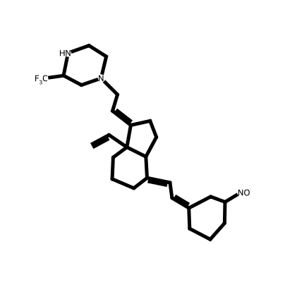 C=CC12CCC/C(=C\C=C3\CCCC(N=O)C3)C1CC/C2=C\CN1CCNC(C(F)(F)F)C1